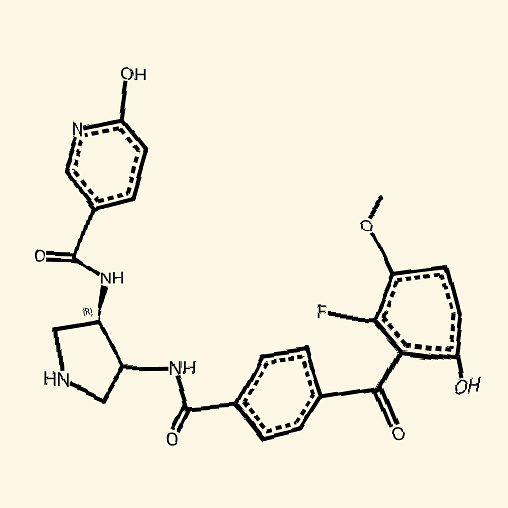 COc1ccc(O)c(C(=O)c2ccc(C(=O)NC3CNC[C@H]3NC(=O)c3ccc(O)nc3)cc2)c1F